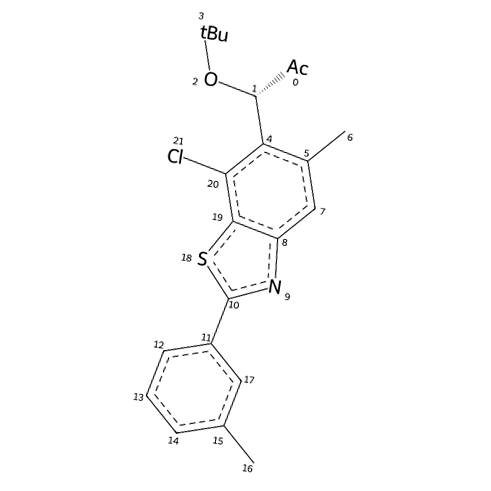 CC(=O)[C@@H](OC(C)(C)C)c1c(C)cc2nc(-c3cccc(C)c3)sc2c1Cl